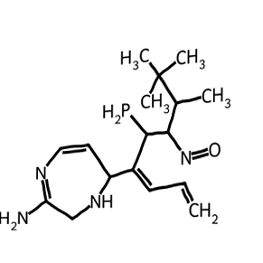 C=C/C=C(/C1C=CN=C(N)CN1)C(P)C(N=O)C(C)C(C)(C)C